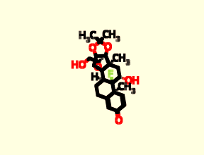 CC1(C)OC2CC3[C@@H]4CCC5=CC(=O)C=C[C@]5(C)C4(F)[C@@H](O)C[C@]3(C)[C@]2(C(=O)CO)O1